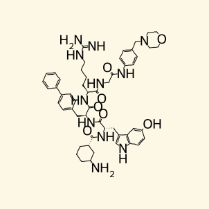 N=C(N)NCCCC[C@H](NC(=O)[C@H](Cc1ccc(-c2ccccc2)cc1)NC(=O)[C@H](Cc1c[nH]c2ccc(O)cc12)NC(=O)[C@H]1CCC[C@H](N)C1)C(=O)NCC(=O)Nc1ccc(CN2CCOCC2)cc1